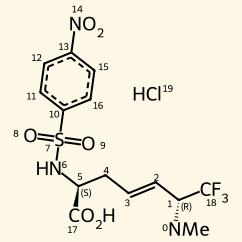 CN[C@H](C=CC[C@H](NS(=O)(=O)c1ccc([N+](=O)[O-])cc1)C(=O)O)C(F)(F)F.Cl